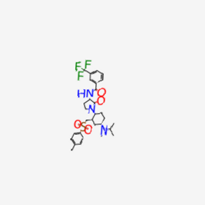 Cc1ccc(S(=O)(=O)C[C@@H]2C[C@@H](N(C)C(C)C)CC[C@@H]2N2CC[C@H](NC(=O)c3cccc(C(F)(F)F)c3)C2=O)cc1